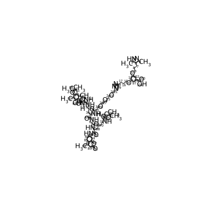 Cc1n[nH]c(C)c1CCCOc1cc(OCCCc2cn(CCOCCOCCOCCC(=O)NC(CCCNC(=N)NS(=O)(=O)c3c(C)c(C)c4c(c3C)CC(C)(C)O4)C(=O)NCC(=O)NC(CCCCNC(=O)OC(C)(C)C)C(=O)Nc3ccc4c(C)cc(=O)oc4c3)nn2)cc(C(=O)O)c1